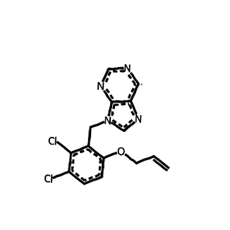 C=CCOc1ccc(Cl)c(Cl)c1Cn1cnc2[c]ncnc21